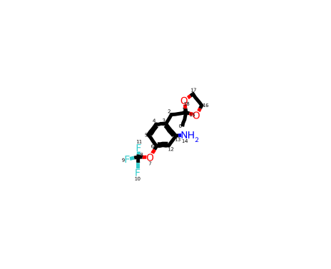 CC1(Cc2ccc(OC(F)(F)F)cc2N)OCCO1